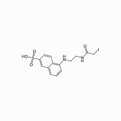 O=C(CI)NCCNc1cccc2cc(S(=O)(=O)O)ccc12